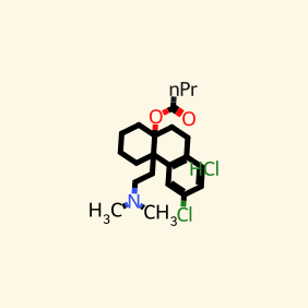 CCCC(=O)OC12CCCCC1(CCN(C)C)c1cc(Cl)ccc1CC2.Cl